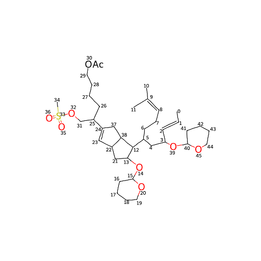 CC=CC(CC(CCC=C(C)C)C1C(OC2CCCCO2)CC2C=C(C(CCCCOC(C)=O)COS(C)(=O)=O)CC21)OC1CCCCO1